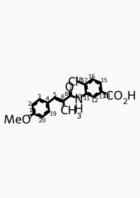 COc1ccc(/C=C(\C)C(=O)Nc2cc(C(=O)O)ccc2Cl)cc1